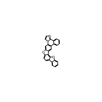 c1ccc2c(c1)oc1c2ccc2oc3cc4c(cc3c21)c1ccccc1c1nccn41